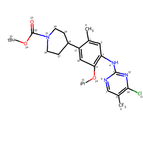 Cc1cc(Nc2ncc(C(F)(F)F)c(Cl)n2)c(OC(C)C)cc1C1CCN(C(=O)OC(C)(C)C)CC1